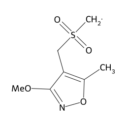 [CH2]S(=O)(=O)Cc1c(OC)noc1C